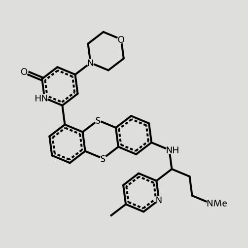 CNCCC(Nc1ccc2c(c1)Sc1cccc(-c3cc(N4CCOCC4)cc(=O)[nH]3)c1S2)c1ccc(C)cn1